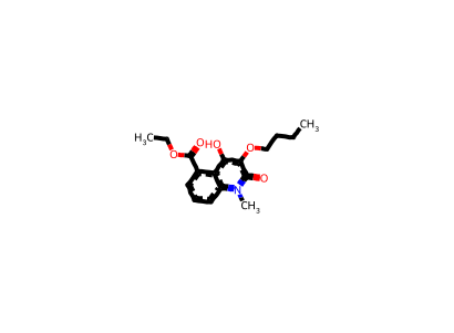 CCCCOc1c(O)c2c(C(=O)OCC)cccc2n(C)c1=O